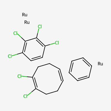 Cl/C1=C(\Cl)CC/C=C\CC1.Clc1ccc(Cl)c(Cl)c1Cl.[Ru].[Ru].[Ru].c1ccccc1